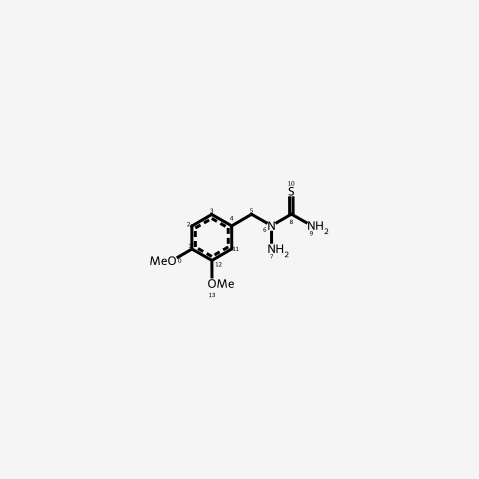 COc1ccc(CN(N)C(N)=S)cc1OC